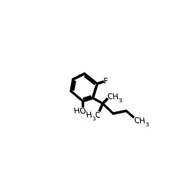 CCCC(C)(C)c1c(O)cccc1F